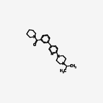 CC(C)N1CCN(c2ccc(-c3cccc(C(=O)N4CCCCC4)c3)cn2)CC1